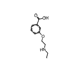 CCNCCOc1cccc(C(=O)O)c1